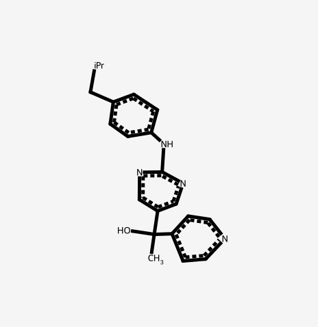 CC(C)Cc1ccc(Nc2ncc(C(C)(O)c3ccncc3)cn2)cc1